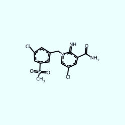 CS(=O)(=O)c1cc(Cl)cc(Cn2cc(Cl)cc(C(N)=O)c2=N)c1